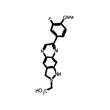 COc1ccc(-c2cnc3cc4c(cc3n2)NN(CC(=O)O)C4)cc1F